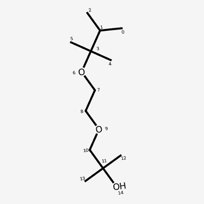 CC(C)C(C)(C)OCCOCC(C)(C)O